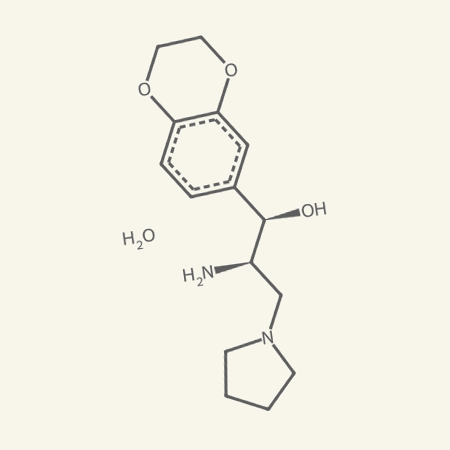 N[C@H](CN1CCCC1)[C@H](O)c1ccc2c(c1)OCCO2.O